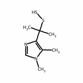 Cc1c(C(C)(C)SS)ncn1C